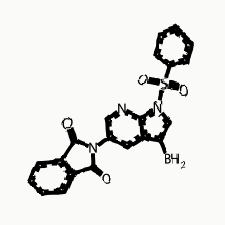 Bc1cn(S(=O)(=O)c2ccccc2)c2ncc(N3C(=O)c4ccccc4C3=O)cc12